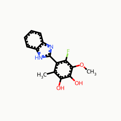 COc1c(O)c(O)c(C)c(-c2nc3ccccc3[nH]2)c1F